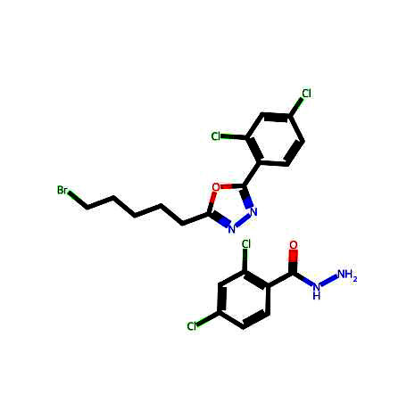 Clc1ccc(-c2nnc(CCCCCBr)o2)c(Cl)c1.NNC(=O)c1ccc(Cl)cc1Cl